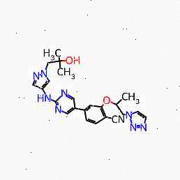 CC(Cn1ccnn1)Oc1cc(-c2cnc(Nc3cnn(CC(C)(C)O)c3)nc2)ccc1C#N